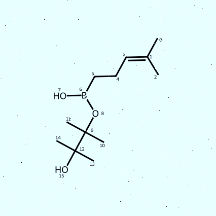 CC(C)=CCCB(O)OC(C)(C)C(C)(C)O